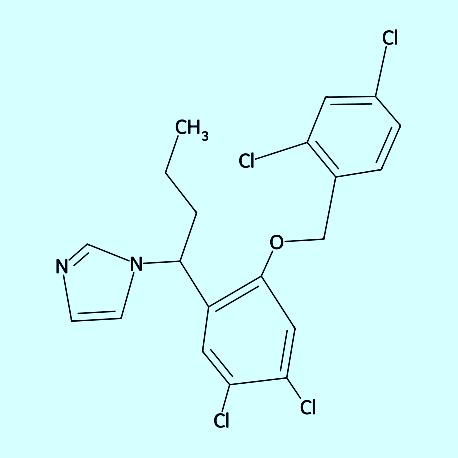 CCCC(c1cc(Cl)c(Cl)cc1OCc1ccc(Cl)cc1Cl)n1ccnc1